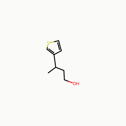 CC(CCO)c1ccsc1